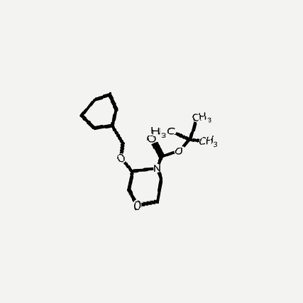 CC(C)(C)OC(=O)N1CCOCC1OCC1CCCCC1